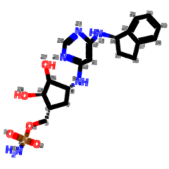 NS(=O)(=O)OC[C@H]1C[C@@H](Nc2cc(N[C@@H]3CCc4ccccc43)ncn2)C(O)[C@@H]1O